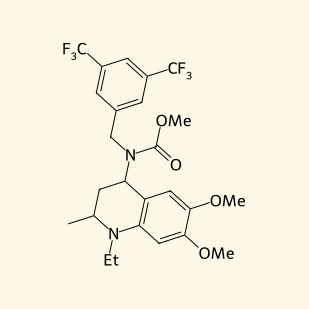 CCN1c2cc(OC)c(OC)cc2C(N(Cc2cc(C(F)(F)F)cc(C(F)(F)F)c2)C(=O)OC)CC1C